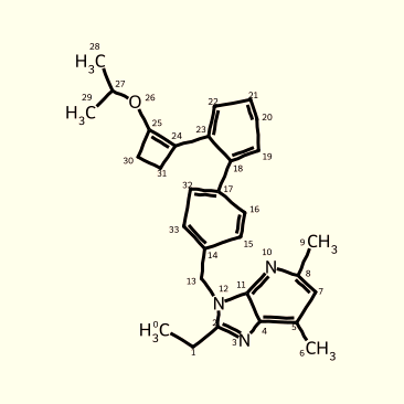 CCc1nc2c(C)cc(C)nc2n1Cc1ccc(-c2ccccc2C2=C(OC(C)C)CC2)cc1